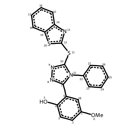 COc1ccc(O)c(-c2nnc(Sc3nc4ccccc4s3)n2-c2ccccc2)c1